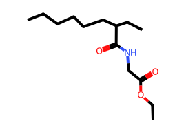 CCCCCCC(CC)C(=O)NCC(=O)OCC